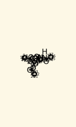 CC1(O)C(OC(=O)c2ccccc2)[C@@H](COC(=O)c2ccccc2)O[C@H]1n1ccc(NC(=O)c2ccccc2)nc1=O